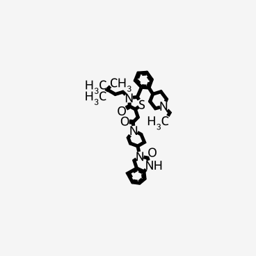 CCN1CCC(c2ccccc2C2SC(CC(=O)N3CCC(N4Cc5ccccc5NC4=O)CC3)C(=O)N2CCC(C)(C)C)CC1